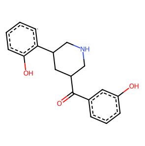 O=C(c1cccc(O)c1)C1CNCC(c2[c]cccc2O)C1